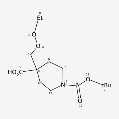 CCOOCC1(C(=O)O)CCN(C(=O)OC(C)(C)C)CC1